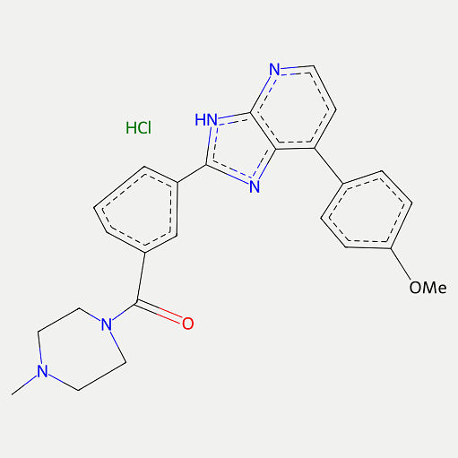 COc1ccc(-c2ccnc3[nH]c(-c4cccc(C(=O)N5CCN(C)CC5)c4)nc23)cc1.Cl